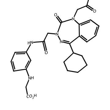 CC(C)(C)C(=O)CN1C(=O)N(CC(=O)Nc2cccc(NCC(=O)O)c2)N=C(C2CCCCC2)c2ccccc21